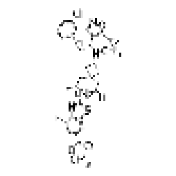 COC(=O)c1cc(F)c2nc(N3[C@@H]4CC[C@H]3CC3(CC(N(C)Cc5c(-c6c(Cl)cccc6Cl)noc5C5CC5)C3)C4)sc2c1